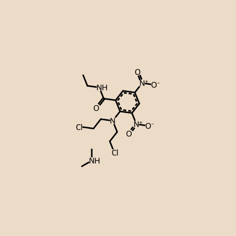 CCNC(=O)c1cc([N+](=O)[O-])cc([N+](=O)[O-])c1N(CCCl)CCCl.CNC